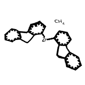 C.c1ccc2c(c1)Cc1[c]([Zr][c]3cccc4c3Cc3ccccc3-4)cccc1-2